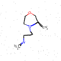 C=NCCN1CCOCC1=C